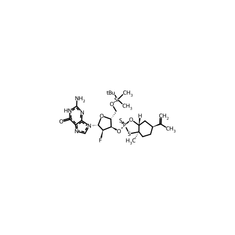 C=C(C)[C@H]1CC[C@@]2(C)S[P@](=S)(O[C@H]3[C@@H](F)[C@H](n4cnc5c(=O)[nH]c(N)nc54)O[C@@H]3CO[Si](C)(C)C(C)(C)C)O[C@@H]2C1